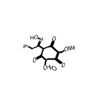 COC1C(=O)C(C=O)C(=O)C(/C(CC(C)C)=N/O)C1=O